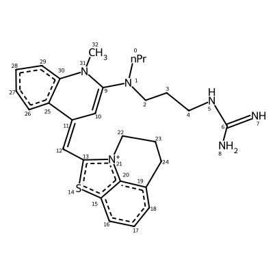 CCCN(CCCNC(=N)N)C1=CC(=Cc2sc3cccc4c3[n+]2CCC4)c2ccccc2N1C